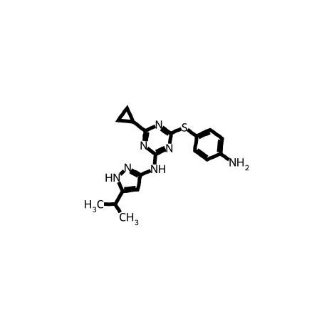 CC(C)c1cc(Nc2nc(Sc3ccc(N)cc3)nc(C3CC3)n2)n[nH]1